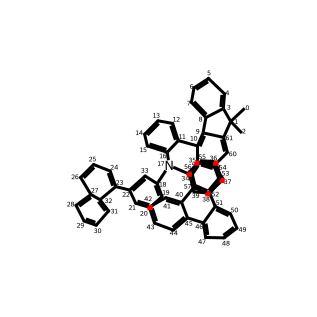 CC1(C)c2ccccc2-c2c(-c3ccccc3N(c3cccc(-c4cccc5ccccc45)c3)c3ccccc3-c3ccccc3-c3ccccc3-c3ccccc3)cccc21